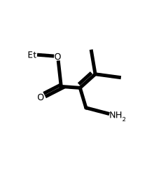 CCOC(=O)C(CN)=C(C)C